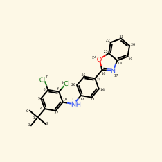 CC(C)(C)c1cc(Cl)c(Cl)c(Nc2ccc(-c3nc4ccccc4o3)cc2)c1